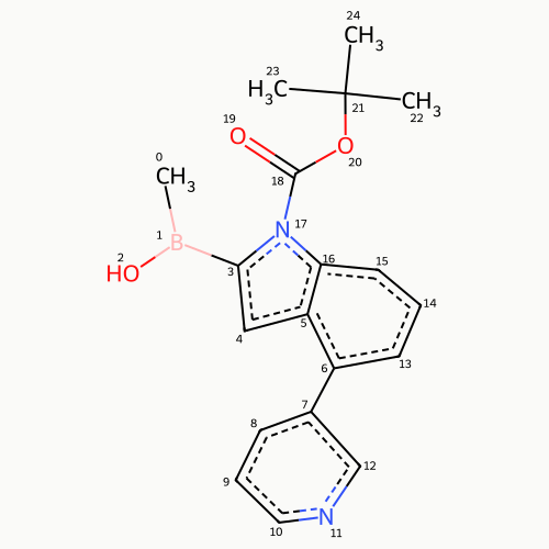 CB(O)c1cc2c(-c3cccnc3)cccc2n1C(=O)OC(C)(C)C